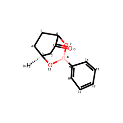 O=C1C[C@@H]2CCC1OB(c1ccccc1)O2